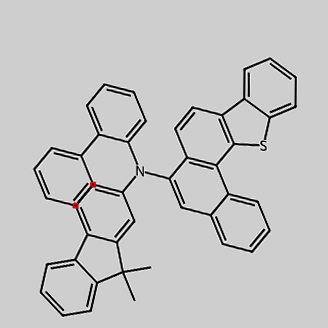 CC1(C)c2ccccc2-c2ccc(N(c3ccccc3-c3ccccc3)c3cc4ccccc4c4c3ccc3c5ccccc5sc34)cc21